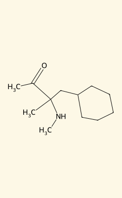 CNC(C)(CC1CCCCC1)C(C)=O